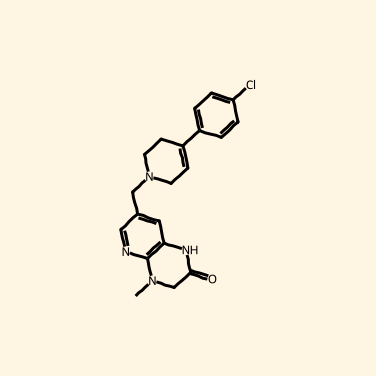 CN1CC(=O)Nc2cc(CN3CC=C(c4ccc(Cl)cc4)CC3)cnc21